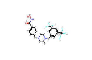 C[C@H]1CN(Cc2ccc(C(=O)NO)cc2)CCN1Cc1cc(C(F)(F)F)cc(C(F)(F)F)c1